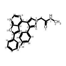 CNC(=O)Cn1cc(-c2ncnc3oc(-c4ccccc4)cc23)c(-c2ccc(F)cc2)n1